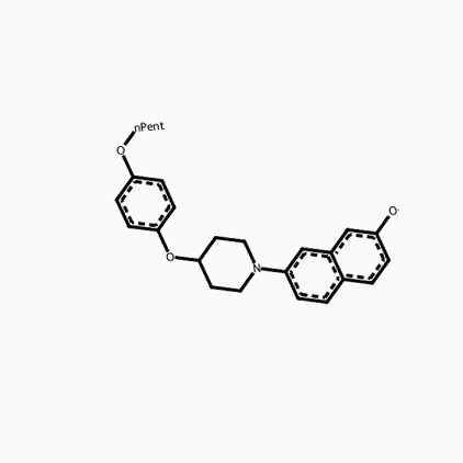 CCCCCOc1ccc(OC2CCN(c3ccc4ccc([O])cc4c3)CC2)cc1